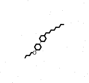 CCCCCCCCC1CCC([C@H]2CC[C@H](OCCCC)CC2)CC1